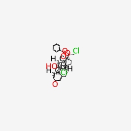 C[C@]12C=CC(=O)C=C1CC[C@H]1[C@@H]3CC[C@](OC(=O)c4ccccc4)(C(=O)CCl)[C@@]3(C)C[C@H](O)[C@@]12Cl